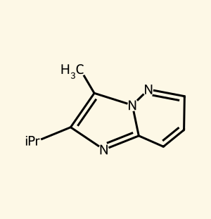 Cc1c(C(C)C)nc2cccnn12